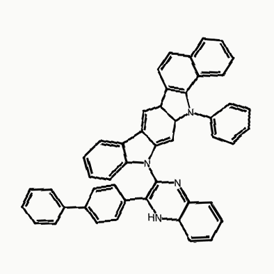 C1=CC2=NC(n3c4c(c5ccccc53)=CC3c5ccc6ccccc6c5N(c5ccccc5)C3C=4)=C(c3ccc(-c4ccccc4)cc3)NC2C=C1